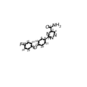 NC(=O)c1cnnc(-c2ccc(Oc3ccc(F)cc3)cc2)n1